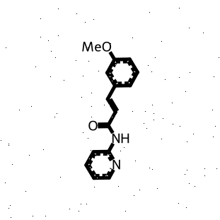 COc1cccc(/C=C/C(=O)Nc2ccccn2)c1